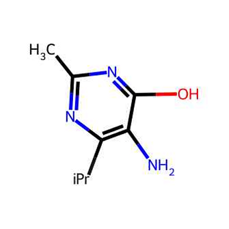 Cc1nc(O)c(N)c(C(C)C)n1